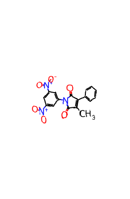 CC1=C(c2ccccc2)C(=O)N(c2cc([N+](=O)[O-])cc([N+](=O)[O-])c2)C1=O